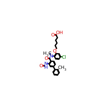 Cc1ccccc1-c1ccc(C(=O)N(C)c2ccc(Cl)cc2OCCCCCC(=O)O)c(NC=O)c1